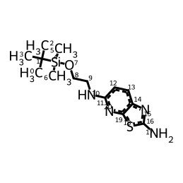 CC(C)(C)[Si](C)(C)OCCNc1ccc2nc(N)sc2n1